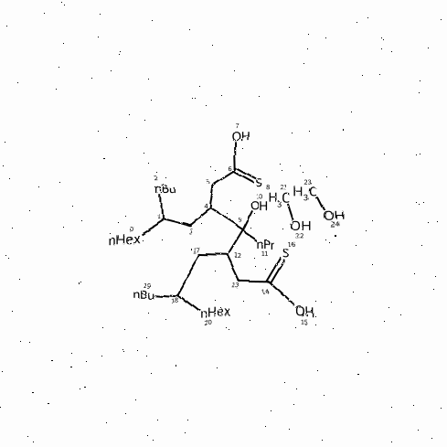 CCCCCCC(CCCC)CC(CC(O)=S)C(O)(CCC)C(CC(O)=S)CC(CCCC)CCCCCC.CO.CO